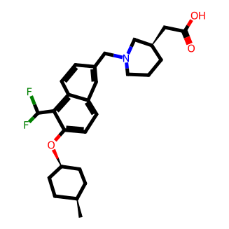 C[C@H]1CC[C@@H](Oc2ccc3cc(CN4CCC[C@H](CC(=O)O)C4)ccc3c2C(F)F)CC1